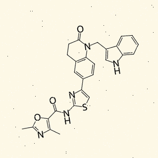 Cc1nc(C)c(C(=O)Nc2nc(-c3ccc4c(c3)CCC(=O)N4Cc3c[nH]c4ccccc34)cs2)o1